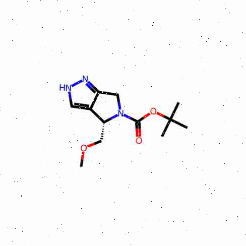 COC[C@@H]1c2c[nH]nc2CN1C(=O)OC(C)(C)C